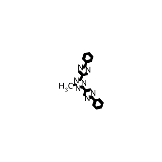 Cc1nc(-c2cnc(-c3ccccc3)nc2)nc(-c2cnc(-c3ccccc3)nc2)n1